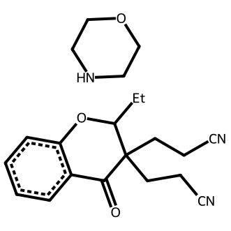 C1COCCN1.CCC1Oc2ccccc2C(=O)C1(CCC#N)CCC#N